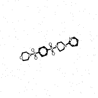 O=S(=O)(c1ccc(S(=O)(=O)N2CCN(c3ccccn3)CC2)cc1)N1CCOCC1